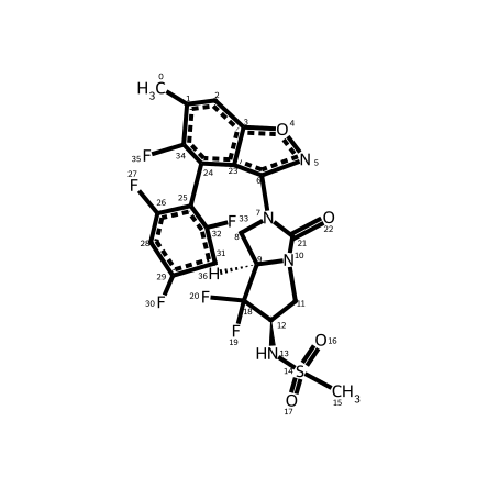 Cc1cc2onc(N3C[C@H]4N(C[C@@H](NS(C)(=O)=O)C4(F)F)C3=O)c2c(-c2c(F)cc(F)cc2F)c1F